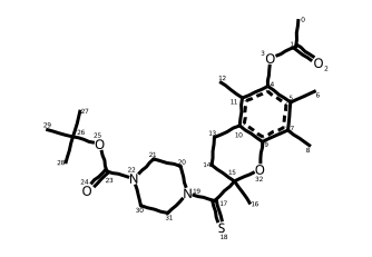 CC(=O)Oc1c(C)c(C)c2c(c1C)CCC(C)(C(=S)N1CCN(C(=O)OC(C)(C)C)CC1)O2